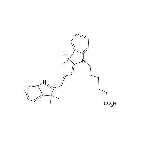 CC1(C)C(/C=C/C=C2/N(CCCCCC(=O)O)c3ccccc3C2(C)C)=Nc2ccccc21